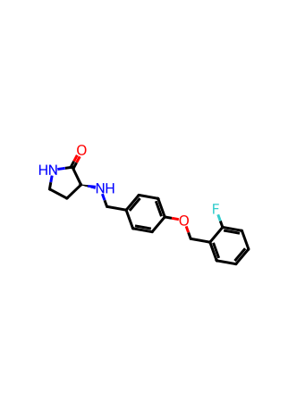 O=C1NCC[C@@H]1NCc1ccc(OCc2ccccc2F)cc1